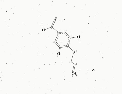 C=CCOc1c(Cl)cc(C(=O)Cl)cc1Cl